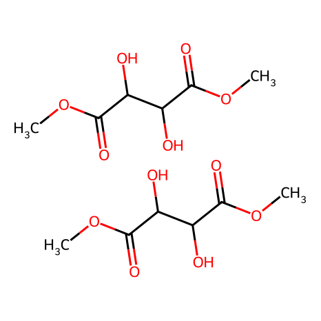 COC(=O)C(O)C(O)C(=O)OC.COC(=O)C(O)C(O)C(=O)OC